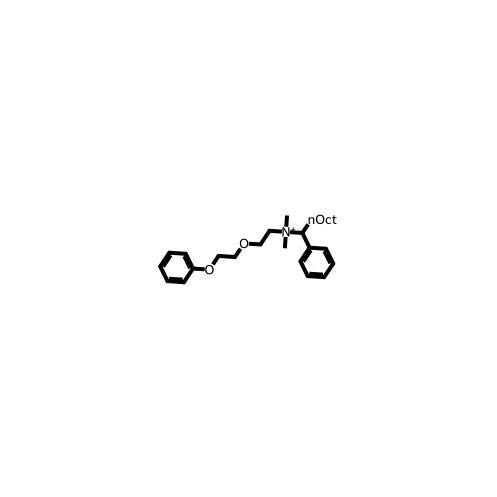 CCCCCCCCC(c1ccccc1)[N+](C)(C)CCOCCOc1ccccc1